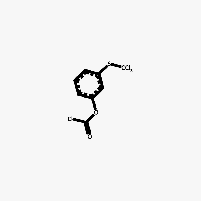 O=C(Cl)Oc1cccc(SC(Cl)(Cl)Cl)c1